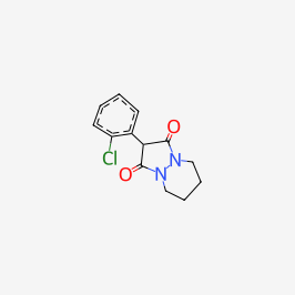 O=C1C(c2ccccc2Cl)C(=O)N2CCCCN12